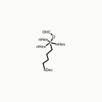 CCCCCCCCCCCCCCP(CCCCCC)(CCCCCC)(CCCCCC)OC=O